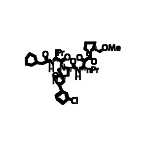 CCC[C@H](NC(=O)[C@@H]1C[C@]2(CC(c3cccc(Cl)c3)=NO2)CN1C(=O)[C@@H](NC(=O)CC1CCCCC1)C(C)C)C(=O)C(=O)N1CCC[C@H]1COC